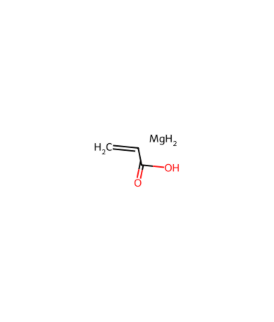 C=CC(=O)O.[MgH2]